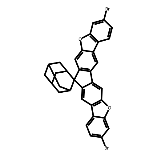 Brc1ccc2c(c1)oc1cc3c(cc12)-c1cc2oc4cc(Br)ccc4c2cc1C31C2CC3CC(C2)CC1C3